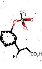 CCC(CC(=O)O)c1cccc(OS(=O)(=O)C(F)(F)F)c1